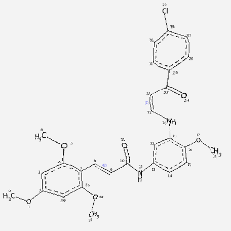 COc1cc(OC)c(/C=C/C(=O)Nc2ccc(OC)c(N/C=C\C(=O)c3ccc(Cl)cc3)c2)c(OC)c1